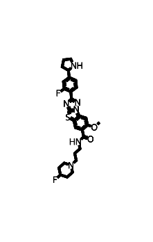 COc1cc2c(cc1C(=O)NCCCN1CCC(F)CC1)sc1nc(-c3ccc(C4CCCN4)cc3F)nn12